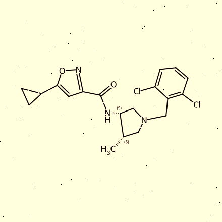 C[C@H]1CN(Cc2c(Cl)cccc2Cl)C[C@H]1NC(=O)c1cc(C2CC2)on1